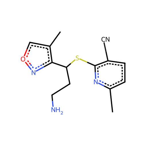 Cc1ccc(C#N)c(SC(CCN)c2nocc2C)n1